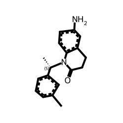 Cc1cccc([C@H](C)N2C(=O)CCc3cc(N)ccc32)c1